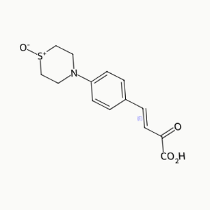 O=C(O)C(=O)/C=C/c1ccc(N2CC[S+]([O-])CC2)cc1